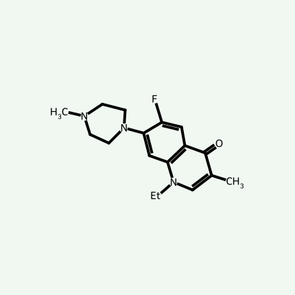 CCn1cc(C)c(=O)c2cc(F)c(N3CCN(C)CC3)cc21